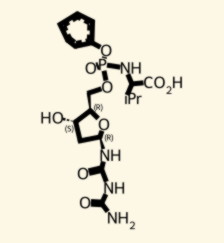 CC(C)C(NP(=O)(OC[C@H]1O[C@@H](NC(=O)NC(N)=O)C[C@@H]1O)Oc1ccccc1)C(=O)O